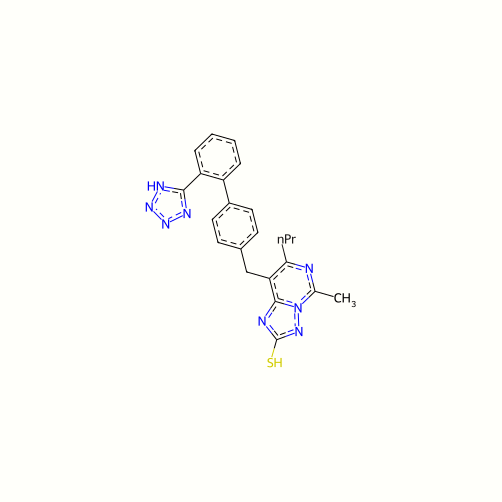 CCCc1nc(C)n2nc(S)nc2c1Cc1ccc(-c2ccccc2-c2nnn[nH]2)cc1